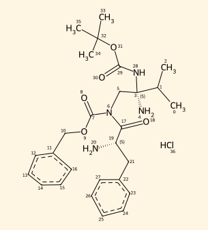 CC(C)[C@@](N)(CN(C(=O)OCc1ccccc1)C(=O)[C@@H](N)Cc1ccccc1)NC(=O)OC(C)(C)C.Cl